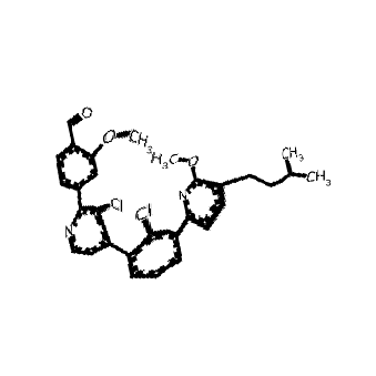 COc1cc(-c2nccc(-c3cccc(-c4ccc(CC[C](C)C)c(OC)n4)c3Cl)c2Cl)ccc1C=O